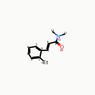 CCc1ccccc1/C=C/C(=O)N(C)C